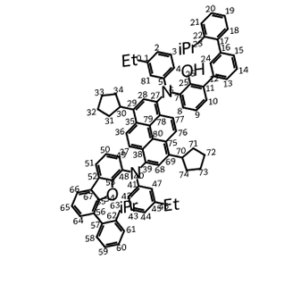 CCc1cccc(N(c2cccc(-c3cccc(-c4ccccc4C(C)C)c3)c2O)c2cc(C3CCCC3)c3ccc4c(N(c5cccc(CC)c5)c5cccc6c5oc5c(-c7ccccc7C(C)C)cccc56)cc(C5CCCC5)c5ccc2c3c54)c1